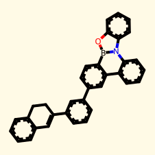 C1=C(c2cccc(-c3ccc4c(c3)-c3ccccc3N3B4Oc4ccccc43)c2)CCc2ccccc21